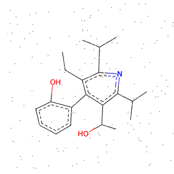 CCc1c(C(C)C)nc(C(C)C)c(C(C)O)c1-c1ccccc1O